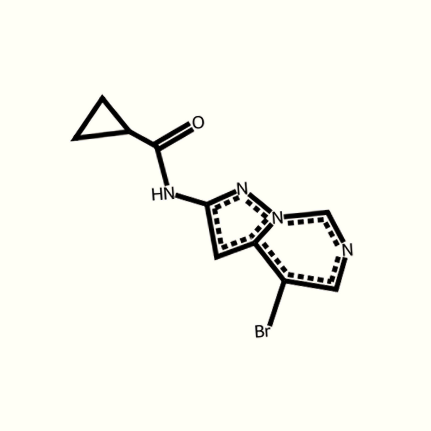 O=C(Nc1cc2c(Br)cncn2n1)C1CC1